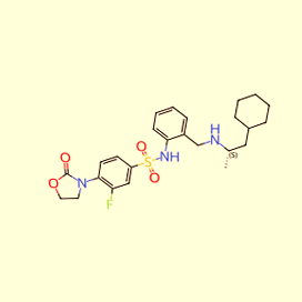 C[C@@H](CC1CCCCC1)NCc1ccccc1NS(=O)(=O)c1ccc(N2CCOC2=O)c(F)c1